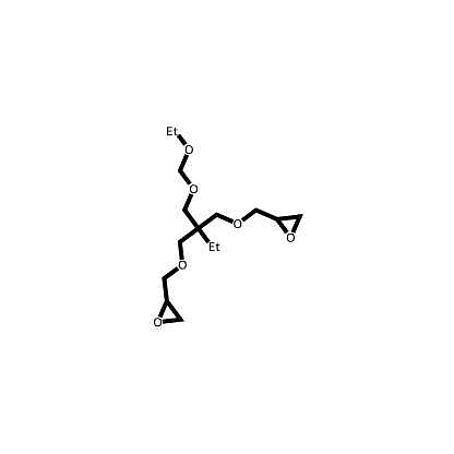 CCOCOCC(CC)(COCC1CO1)COCC1CO1